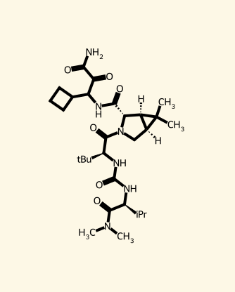 CC(C)[C@H](NC(=O)N[C@H](C(=O)N1C[C@H]2[C@@H]([C@H]1C(=O)NC(C(=O)C(N)=O)C1CCC1)C2(C)C)C(C)(C)C)C(=O)N(C)C